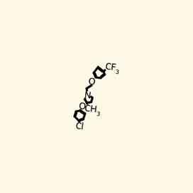 CC1(Oc2ccc(Cl)cc2)CCN(CCOc2ccc(C(F)(F)F)cc2)C1